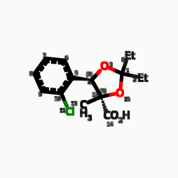 CCC1(CC)O[C@H](c2ccccc2Cl)[C@@](C)(C(=O)O)O1